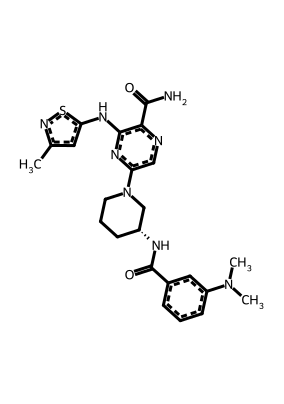 Cc1cc(Nc2nc(N3CCC[C@@H](NC(=O)c4cccc(N(C)C)c4)C3)cnc2C(N)=O)sn1